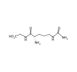 NC(=O)NCCC[C@H](N)C(=O)NCC(=O)O